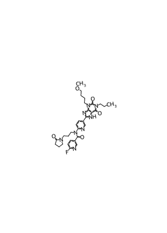 CCCn1c(=O)c2[nH]c(-c3ccc(N(CCCN4CCCC4=O)C(=O)c4ccc(F)nc4)nc3)nc2n(CCCCOC)c1=O